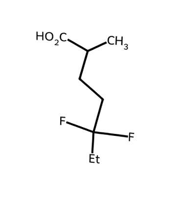 CCC(F)(F)CCC(C)C(=O)O